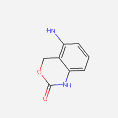 [NH]c1cccc2c1COC(=O)N2